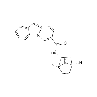 O=C(N[C@@H]1C[C@H]2CC[C@@H]1N2)c1ccc2cc3ccccc3n2c1